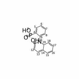 O=P(O)(O)c1ccccc1N1C=CC=C2C=CC=CC21